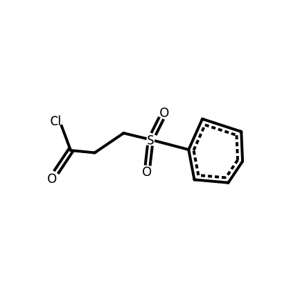 O=C(Cl)CCS(=O)(=O)c1ccccc1